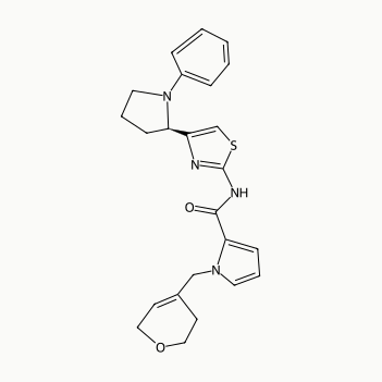 O=C(Nc1nc([C@H]2CCCN2c2ccccc2)cs1)c1cccn1CC1=CCOCC1